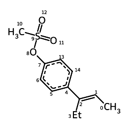 CC=C(CC)c1ccc(OS(C)(=O)=O)cc1